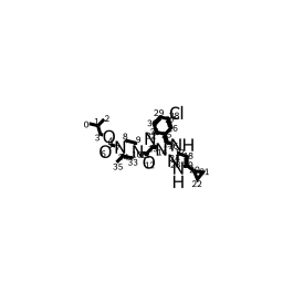 CC(C)COC(=O)N1CCN(C(=O)c2nc(Nc3cc(C4CC4)[nH]n3)c3cc(Cl)ccc3n2)CC1C